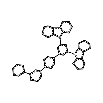 c1ccc(-c2nccc(-c3ccc(-c4cc(-n5c6ccccc6c6ccccc65)cc(-n5c6ccccc6c6ccccc65)c4)cc3)n2)cc1